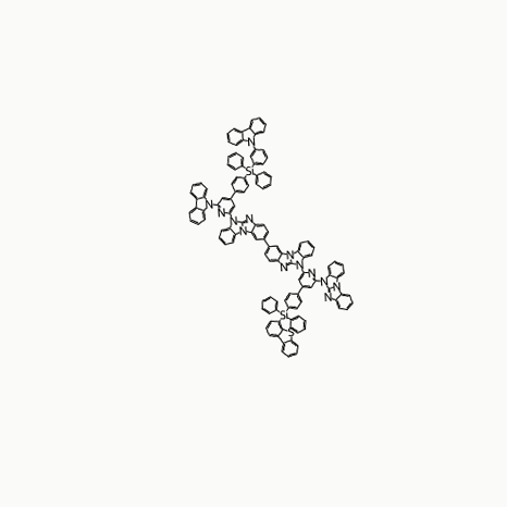 c1ccc([Si](c2ccccc2)(c2ccc(-c3cc(-n4c5ccccc5c5ccccc54)nc(-n4c5ccccc5n5c6cc(-c7ccc8nc9n(-c%10cc(-c%11ccc([Si](c%12ccccc%12)(c%12ccccc%12)c%12cccc%13c%12sc%12ccccc%12%13)cc%11)cc(-n%11c%12ccccc%12n%12c%13ccccc%13nc%11%12)n%10)c%10ccccc%10n9c8c7)ccc6nc45)c3)cc2)c2cccc(-n3c4ccccc4c4ccccc43)c2)cc1